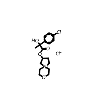 CC(O)(C(=O)OC1CC[N+]2(CCOCC2)C1)c1ccc(Cl)cc1.[Cl-]